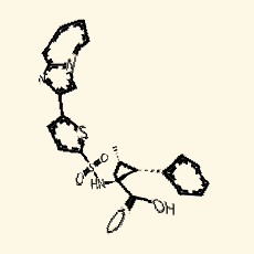 C[C@@H]1[C@H](c2ccccc2)[C@]1(NS(=O)(=O)c1ccc(-c2cn3ccccc3n2)s1)C(=O)O